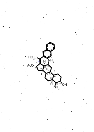 CC(=O)O[C@H]1C[C@]2(C)C3CC[C@H]4[C@H](N)[C@H](O)CC[C@]4(C)[C@@H]3C[C@H](N)[C@H]2/C1=C(/C(=O)O)c1ccc2ccccc2c1